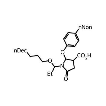 CCCCCCCCCCCCCOC(CC)N1C(=O)CC(C(=O)O)C1Oc1ccc(CCCCCCCCC)cc1